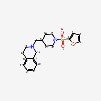 O=S(=O)(c1cccs1)N1CCC(CN2CCc3ccccc3C2)CC1